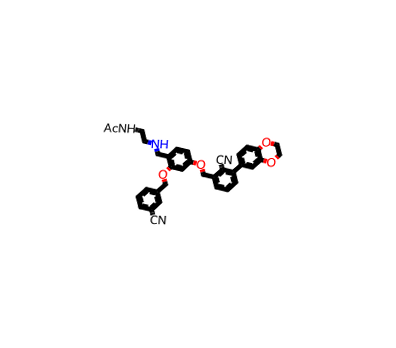 CC(=O)NCCNCc1ccc(OCc2cccc(-c3ccc4c(c3)OCCO4)c2C#N)cc1OCc1cccc(C#N)c1